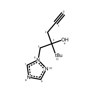 C#CCC(O)(Cn1cncn1)C(C)(C)C